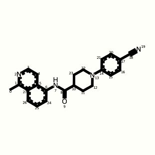 Cc1nccc2c(NC(=O)C3CCN(c4ccc(C#N)cc4)CC3)cccc12